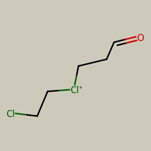 O=CCC[Cl+]CCCl